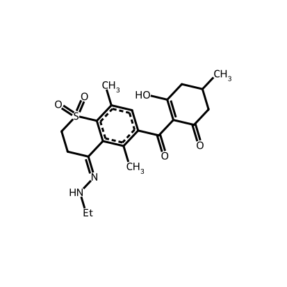 CCNN=C1CCS(=O)(=O)c2c(C)cc(C(=O)C3=C(O)CC(C)CC3=O)c(C)c21